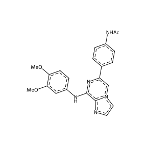 COc1ccc(Nc2nc(-c3ccc(NC(C)=O)cc3)cn3ccnc23)cc1OC